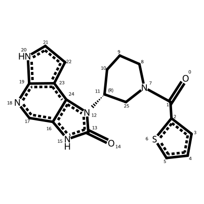 O=C(c1cccs1)N1CCC[C@@H](n2c(=O)[nH]c3cnc4[nH]ccc4c32)C1